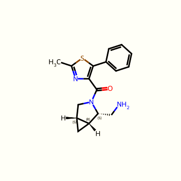 Cc1nc(C(=O)N2C[C@H]3C[C@H]3[C@H]2CN)c(-c2ccccc2)s1